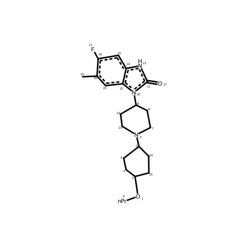 CCCOC1CCC(N2CCC(n3c(=O)[nH]c4cc(F)c(C)cc43)CC2)CC1